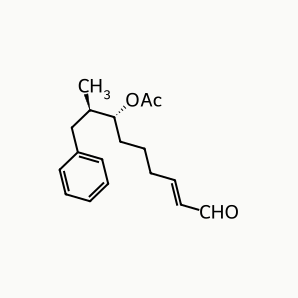 CC(=O)O[C@H](CCC/C=C/C=O)[C@H](C)Cc1ccccc1